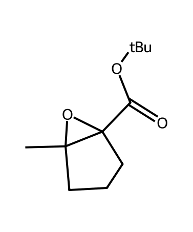 CC(C)(C)OC(=O)C12CCCC1(C)O2